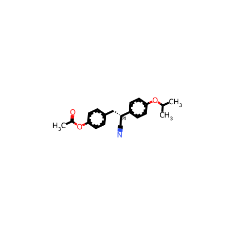 CC(=O)Oc1ccc(C[C@@H](C#N)c2ccc(OC(C)C)cc2)cc1